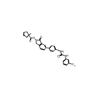 CC1(C(=O)ON2Cc3ccc(-c4ccc(NC(=O)Nc5cccc(C(F)(F)F)c5)cc4)cc3C2=O)CCCC1